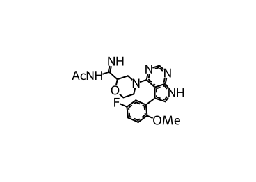 COc1ccc(F)cc1-c1c[nH]c2ncnc(N3CCOC(C(=N)NC(C)=O)C3)c12